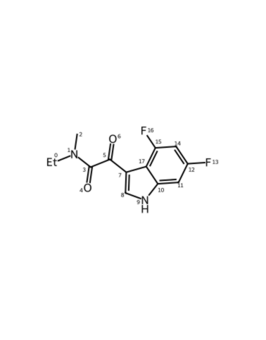 CCN(C)C(=O)C(=O)c1c[nH]c2cc(F)cc(F)c12